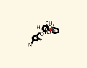 CC(C)(C)OC(=O)N1C2CCC1CN(c1cccc(OCc3ccc(C#N)cc3F)n1)C2